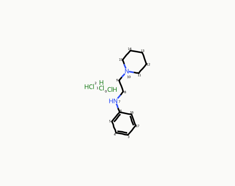 Cl.Cl.Cl.c1ccc(NCCN2CCCCC2)cc1